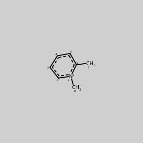 [CH2-][n+]1ccccc1C